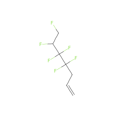 C=CCC(F)(F)C(F)(F)C(F)CF